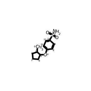 CC1CCCC1Oc1ccc(S(N)(=O)=O)cc1